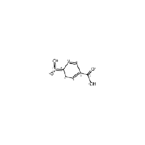 O=C(O)C1=CCC(=S(=O)=O)C=C1